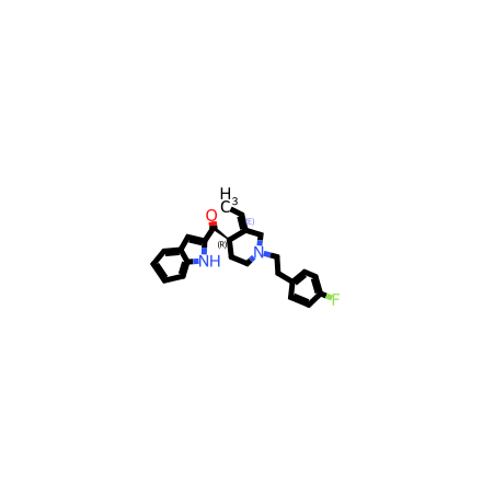 C/C=C1/CN(CCc2ccc(F)cc2)CC[C@H]1C(=O)c1cc2ccccc2[nH]1